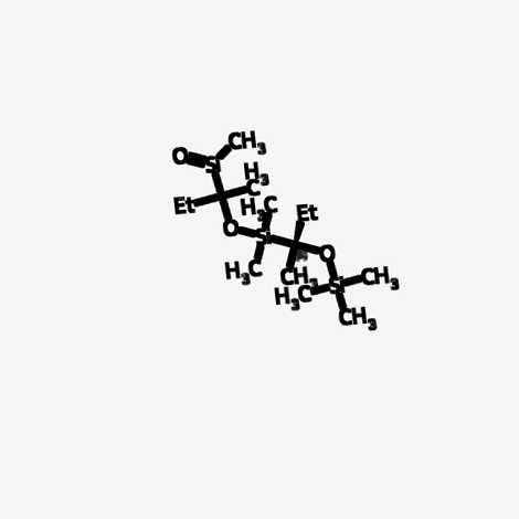 CCC(C)(O[Si](C)(C)[C@](C)(CC)O[Si](C)(C)C)[Si](C)=O